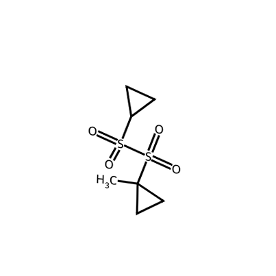 CC1(S(=O)(=O)S(=O)(=O)C2CC2)CC1